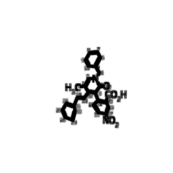 Cc1cn(Cc2ccccc2)c(=O)c(-c2ccc([N+](=O)[O-])cc2C(=O)O)c1C=Cc1ccccc1